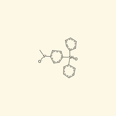 C[S+]([O-])c1ccc([SH](=O)(c2ccccc2)c2ccccc2)cc1